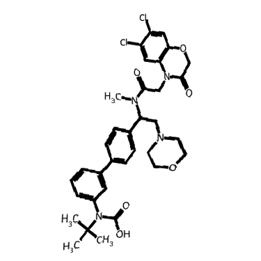 CN(C(=O)CN1C(=O)COc2cc(Cl)c(Cl)cc21)C(CN1CCOCC1)c1ccc(-c2cccc(N(C(=O)O)C(C)(C)C)c2)cc1